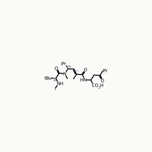 C/C(=C\[C@H](C(C)C)N(C)C(=O)[C@@H](NI)C(C)(C)C)C(=O)NC(CC(=O)C(C)C)C(=O)O